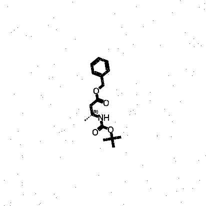 C[C@H](CC(=O)OCc1ccccc1)NC(=O)OC(C)(C)C